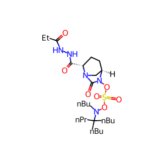 CCCCN(OS(=O)(=O)ON1C(=O)N2C[C@H]1CC[C@H]2C(=O)NNC(=O)CC)C(CCC)(CCCC)CCCC